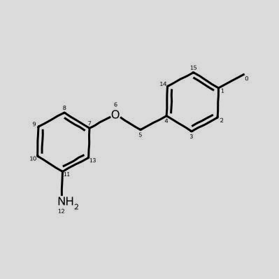 Cc1ccc(COc2cccc(N)c2)cc1